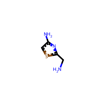 NCc1nc(N)cs1